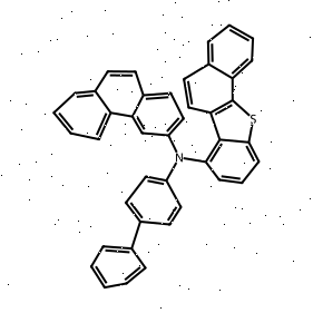 c1ccc(-c2ccc(N(c3ccc4ccc5ccccc5c4c3)c3cccc4sc5c6ccccc6ccc5c34)cc2)cc1